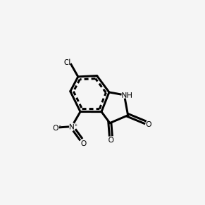 O=C1Nc2cc(Cl)cc([N+](=O)[O-])c2C1=O